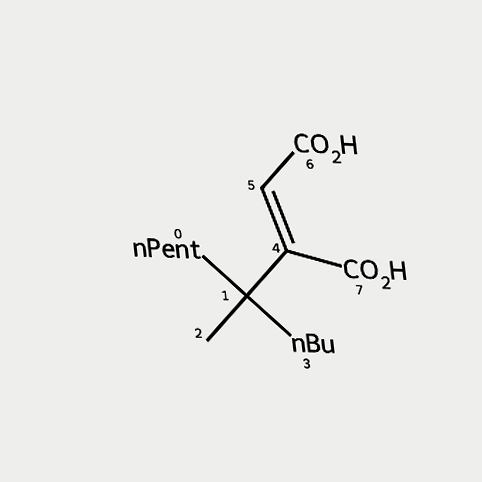 CCCCCC(C)(CCCC)/C(=C/C(=O)O)C(=O)O